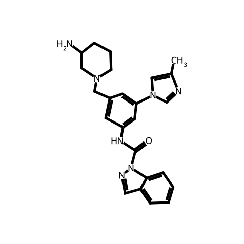 Cc1cn(-c2cc(CN3CCCC(N)C3)cc(NC(=O)n3ncc4ccccc43)c2)cn1